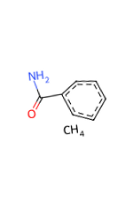 C.NC(=O)c1ccccc1